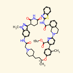 Cc1cc(O[C@@H](C)CCC2CCN(CC(=O)Nc3ccc4c(C5CCC(=O)NC5=O)nn(C)c4c3)CC2)ccc1-c1ccc(N2CCc3cccc(C(=O)Nc4nc5ccccc5s4)c3C2)nc1C(=O)OC(C)(C)C